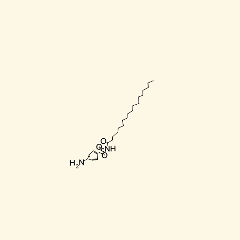 CCCCCCCCCCCCCCCCCC(=O)NS(=O)(=O)c1ccc(N)cc1